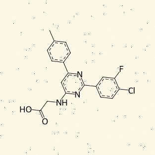 Cc1ccc(-c2cc(NCC(=O)O)nc(-c3ccc(Cl)c(F)c3)n2)cc1